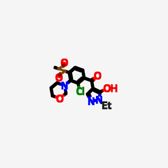 CCn1ncc(C(=O)c2ccc(S(C)(=O)=O)c(N3CCCOC3)c2Cl)c1O